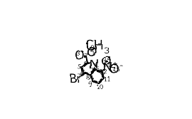 COC(=O)c1cc(Br)c2cccc([N+](=O)[O-])c2n1